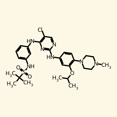 CC(C)Oc1cc(Nc2ncc(Cl)c(Nc3cccc(NS(=O)(=O)C(C)(C)C)c3)n2)ccc1N1CCN(C)CC1